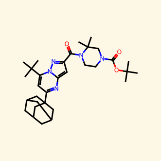 CC(C)(C)OC(=O)N1CCN(C(=O)c2cc3nc(C45CC6CC(CC(C6)C4)C5)cc(C(C)(C)C)n3n2)C(C)(C)C1